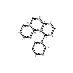 c1ccc(-c2cccc3ccc4ccccc4c23)cc1